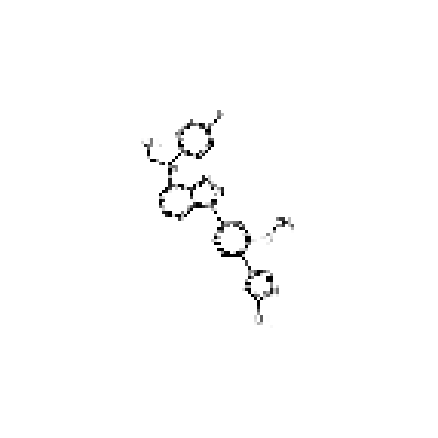 CC[C@@H](c1ccc(F)cc1)n1cccc2c(-c3ccc(-n4cnc(C)c4)c(OC)c3)nnc1-2